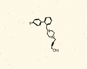 OCC#CCN1CCN(Cc2ccccc2-c2ccc(F)cc2)CC1